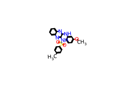 COc1cccc(Nc2nc3ccccc3nc2NS(=O)(=O)c2ccc(C)cc2)c1